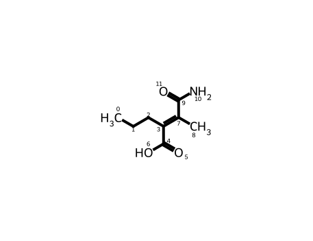 CCC/C(C(=O)O)=C(/C)C(N)=O